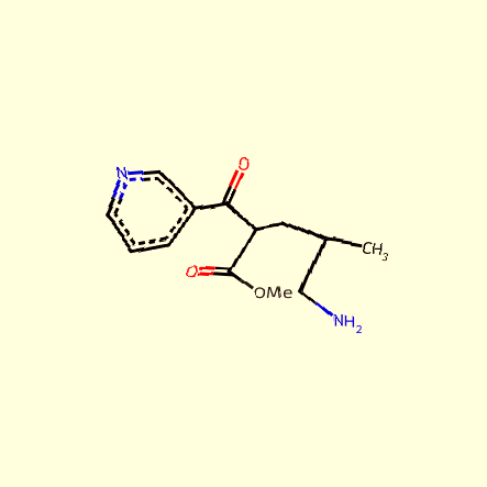 COC(=O)C(CC(C)CN)C(=O)c1cccnc1